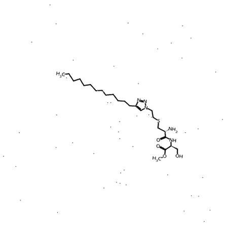 CCCCCCCCCCCCCc1cn(CCSC[C@H](N)C(=O)N[C@@H](CO)C(=O)OC)nn1